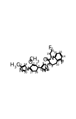 COC1=CC(c2cn(C3CCc4c(F)cccc4N(CCF)C3=O)nn2)CC=C1n1cnc(C)c1